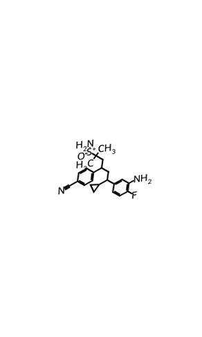 CC(C)(CC(CC(c1ccc(F)c(N)c1)C1CC1)c1ccc(C#N)cc1)[S+](N)[O-]